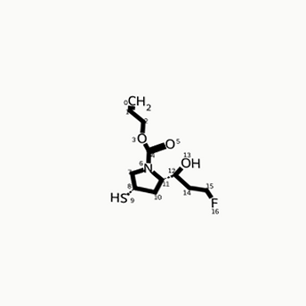 C=CCOC(=O)N1C[C@@H](S)C[C@H]1C(O)CCF